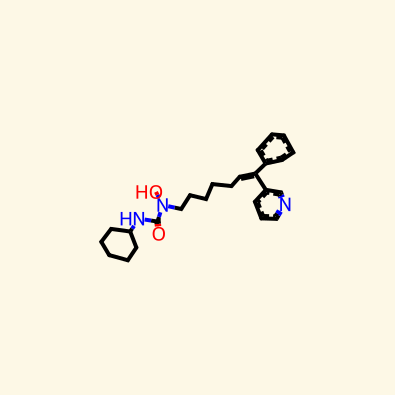 O=C(NC1CCCCC1)N(O)CCCCCC=C(c1ccccc1)c1cccnc1